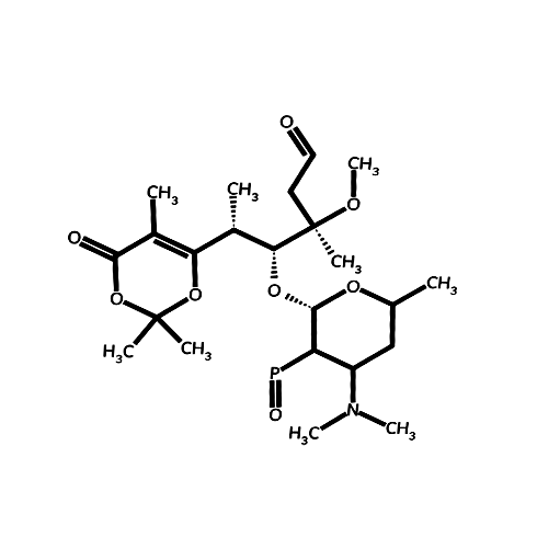 CO[C@](C)(CC=O)[C@H](O[C@@H]1OC(C)CC(N(C)C)C1P=O)[C@@H](C)C1=C(C)C(=O)OC(C)(C)O1